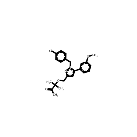 COc1cccc(-c2cc(COC(C)(C)C(C)=O)nn2Cc2ccc(Cl)cc2)c1